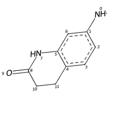 [NH]c1ccc2c(c1)NC(=O)CC2